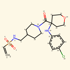 C=CS(=O)(=O)NCC1CCN(C(=O)C2(Nc3ccc(Cl)cc3)CCOCC2)CC1